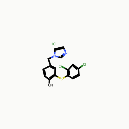 Cl.N#Cc1ccc(Cn2ccnc2)cc1Sc1ccc(Cl)cc1Cl